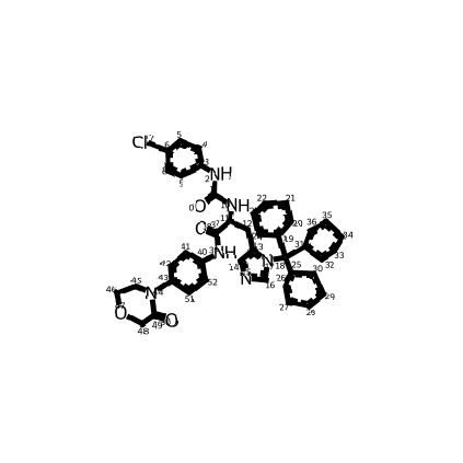 O=C(Nc1ccc(Cl)cc1)NC(Cc1cncn1C(c1ccccc1)(c1ccccc1)c1ccccc1)C(=O)Nc1ccc(N2CCOCC2=O)cc1